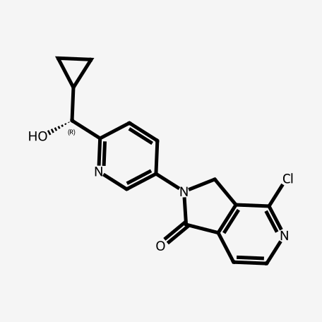 O=C1c2ccnc(Cl)c2CN1c1ccc([C@H](O)C2CC2)nc1